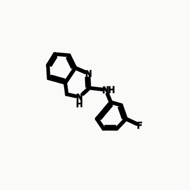 Fc1cccc(NC2=Nc3ccccc3CN2)c1